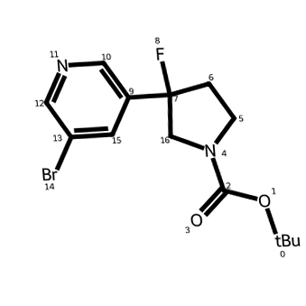 CC(C)(C)OC(=O)N1CCC(F)(c2cncc(Br)c2)C1